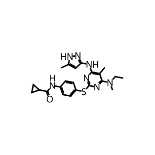 CCN(C)c1nc(Sc2ccc(NC(=O)C3CC3)cc2)nc(Nc2cc(C)[nH]n2)c1C